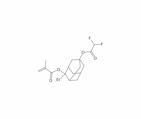 C=C(C)C(=O)OC1(CC)C2CC3CC1CC(OC(=O)C(F)F)(C3)C2